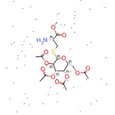 COC(=O)[C@@H](N)CS[C@H]1O[C@H](COC(C)=O)[C@H](OC(C)=O)[C@H](OC(C)=O)[C@H]1OC(C)=O